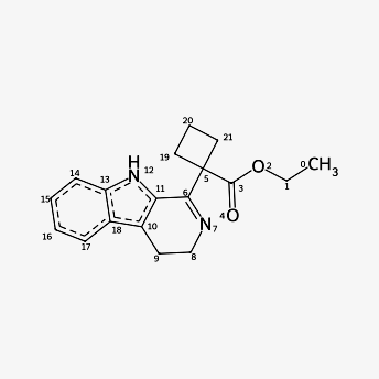 CCOC(=O)C1(C2=NCCc3c2[nH]c2ccccc32)CCC1